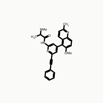 CNC(C)C(=O)Nc1cc(-c2c(OC)ccc3nc(C)ccc23)cc(C#Cc2ccccc2)n1